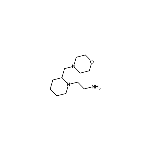 NCCN1CCCCC1CN1CCOCC1